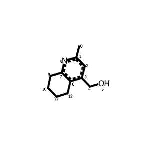 Cc1cc(CO)c2c(n1)CCCC2